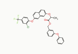 CC(Oc1ccc2ccc(Oc3ccc(C(F)(F)F)cc3Cl)cc2c1)C(=O)OCc1cccc(Oc2ccccc2)c1